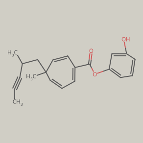 CC#CC(C)CC1(C)C=CC=C(C(=O)Oc2cccc(O)c2)C=C1